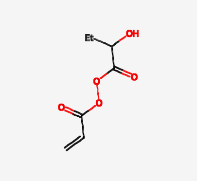 C=CC(=O)OOC(=O)C(O)CC